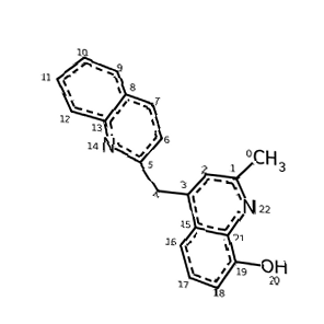 Cc1cc(Cc2ccc3ccccc3n2)c2cccc(O)c2n1